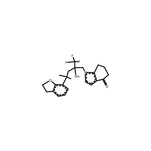 CC(C)(CC(O)(Cn1ccc2c1CCCC2=O)C(F)(F)F)c1cccc2c1OCC2